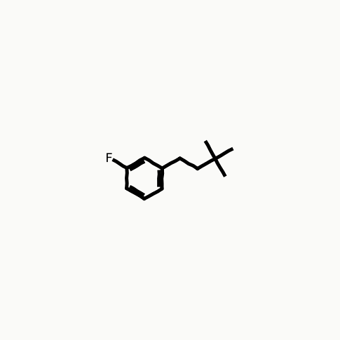 CC(C)(C)CCc1cccc(F)c1